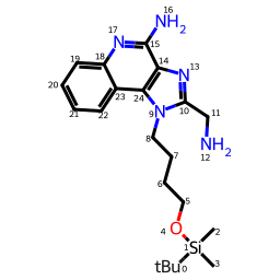 CC(C)(C)[Si](C)(C)OCCCCn1c(CN)nc2c(N)nc3ccccc3c21